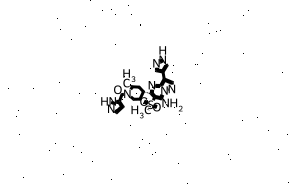 C[C@H]1C[C@H](c2nc3c(-c4cn[nH]c4)cnn3c(N)c2S(C)(=O)=O)CCN1C(=O)c1ccn[nH]1